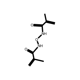 C=C(C)C(=O)NONC(=O)C(=C)C